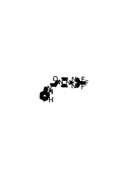 [2H]c1cccc2cn(CCC(=O)N3CCN(c4ncc(C(F)(F)F)cn4)CC3)nc12